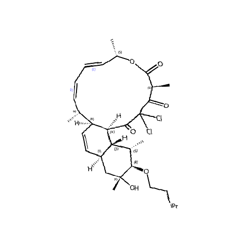 CC(C)CCO[C@@H]1[C@@H](C)[C@H]2[C@@H]3C(=O)C(Cl)(Cl)C(=O)[C@H](C)C(=O)O[C@@H](C)/C=C/C=C\[C@@H](C)[C@@H]3C=C[C@@H]2C[C@@]1(C)O